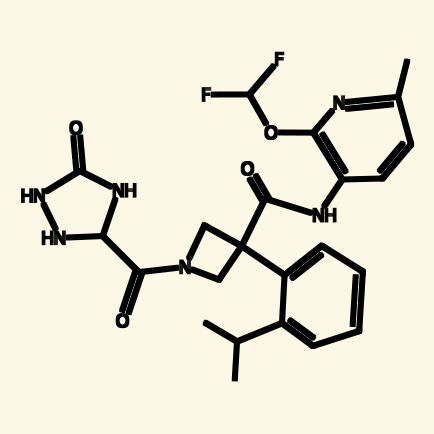 Cc1ccc(NC(=O)C2(c3ccccc3C(C)C)CN(C(=O)C3NNC(=O)N3)C2)c(OC(F)F)n1